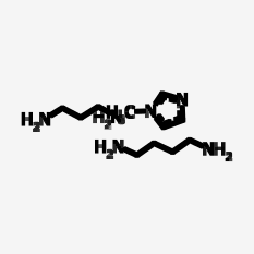 Cn1ccnc1.NCCCCN.NCCCN